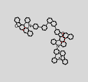 c1cc(-c2ccc(N(c3ccccc3-c3cccc4oc5ccccc5c34)c3cccc4ccccc34)cc2)cc(-c2cccc3ccc(-c4ccc5c(c4)oc4cccc(-c6ccccc6N(c6ccc(-c7ccccc7-n7c8ccccc8c8ccccc87)cc6)c6cccc(-c7cccc8ccccc78)c6)c45)cc23)c1